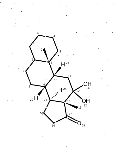 C[C@]12CCCCC1CC[C@@H]1[C@H]2CC(O)(O)[C@]2(C)C(=O)CC[C@@H]12